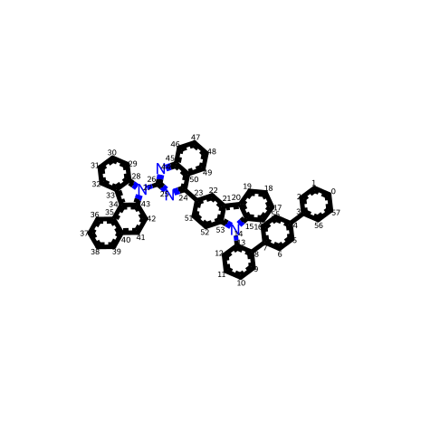 c1ccc(-c2ccc(-c3ccccc3-n3c4ccccc4c4cc(-c5nc(-n6c7ccccc7c7c8ccccc8ccc76)nc6ccccc56)ccc43)cc2)cc1